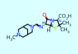 CN1CC2CC(C1)CN(C=N[C@@H]1C(=O)N3[C@@H]1SC(C)(C)[C@@H]3C(=O)O)C2